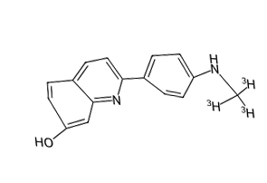 [3H]C([3H])([3H])Nc1ccc(-c2ccc3ccc(O)cc3n2)cc1